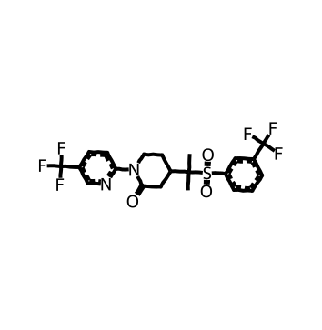 CC(C)(C1CCN(c2ccc(C(F)(F)F)cn2)C(=O)C1)S(=O)(=O)c1cccc(C(F)(F)F)c1